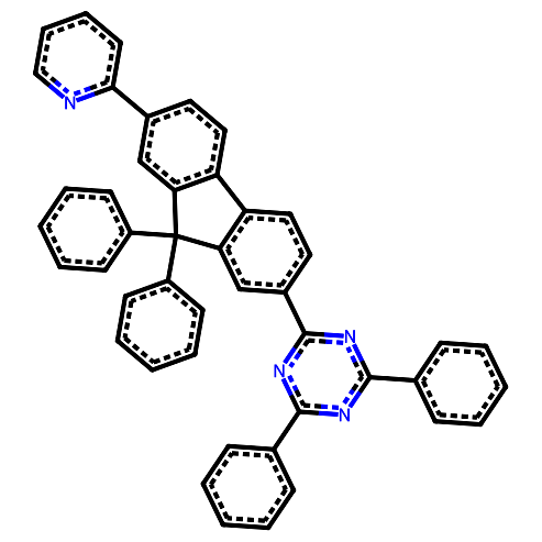 c1ccc(-c2nc(-c3ccccc3)nc(-c3ccc4c(c3)C(c3ccccc3)(c3ccccc3)c3cc(-c5ccccn5)ccc3-4)n2)cc1